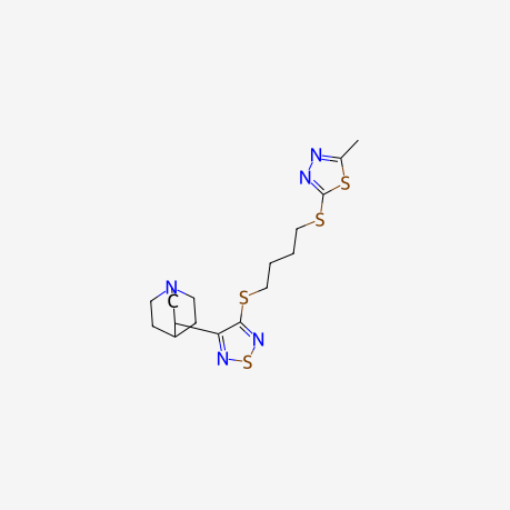 Cc1nnc(SCCCCSc2nsnc2C2CN3CCC2CC3)s1